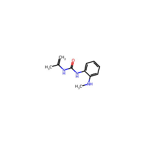 C=C(C)NC(=O)Nc1ccccc1NC